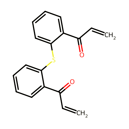 C=CC(=O)c1ccccc1Sc1ccccc1C(=O)C=C